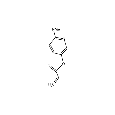 C=CC(=O)Oc1ccc(NC)nc1